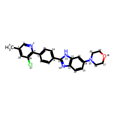 Cc1cnc(-c2ccc(-c3nc4ccc(N5CCOCC5)cc4[nH]3)cc2)c(Cl)c1